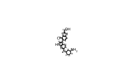 CN(c1cnc2c(-c3ccc4nc(CO)sc4c3Cl)c[nH]c2n1)[C@@H]1CCC[C@@H](N)C1